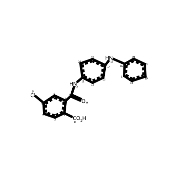 O=C(O)c1ccc(Cl)cc1C(=O)Nc1ccc(Nc2ccccc2)cc1